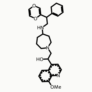 COc1cccc2c(C(O)CN3CCCC(NCC(C4=CC=CCC4)C4=COC=CO4)CC3)ccnc12